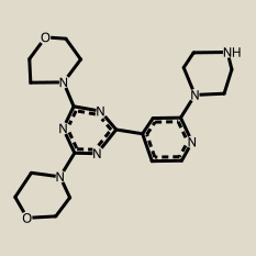 c1cc(-c2nc(N3CCOCC3)nc(N3CCOCC3)n2)cc(N2CCNCC2)n1